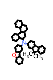 CC1(C)c2ccccc2-c2ccc(N(c3ccc4oc5ccccc5c4c3)c3cc4ccc5ccccc5c4c4ccccc34)cc21